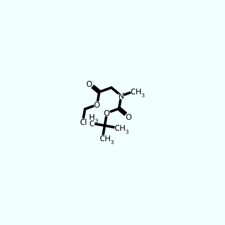 CN(CC(=O)OCCl)C(=O)OC(C)(C)C